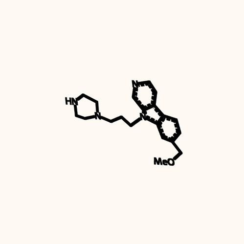 COCc1ccc2c3ccncc3n(CCCN3CCNCC3)c2c1